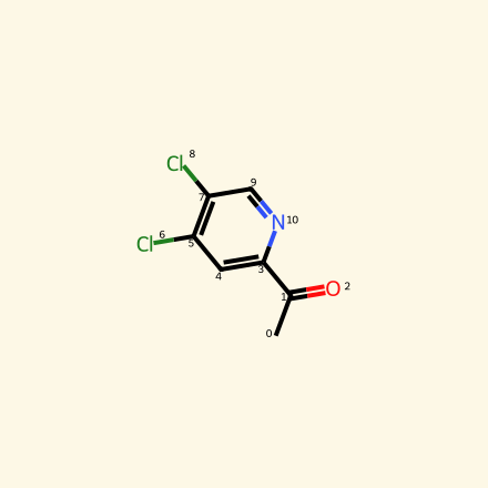 CC(=O)c1cc(Cl)c(Cl)cn1